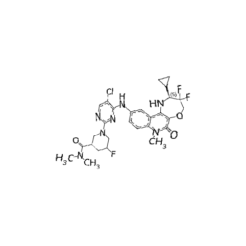 CN(C)C(=O)C1CC(F)CN(c2ncc(Cl)c(Nc3ccc4c(c3)c3c(c(=O)n4C)OCC(F)(F)[C@H](C4CC4)N3)n2)C1